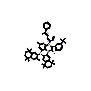 C=C/C(=C\C=C(/C)c1ccccc1)N1c2cc(C)cc3c2B(c2cc4c(cc2N3c2cc3c(cc2C)C(C)(C)CCC3(C)C)C(C)(C)CCC4(C)C)c2sc3ccc(C(C)(C)C)cc3c21